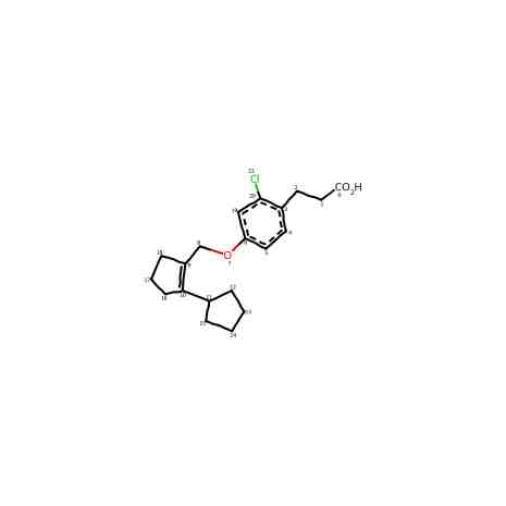 O=C(O)CCc1ccc(OCC2=C(C3CCCC3)CCC2)cc1Cl